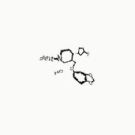 CCCCCN1CC[C@H](C2CCC(F)C2)[C@@H](COc2ccc3c(c2)OCO3)C1.Cl